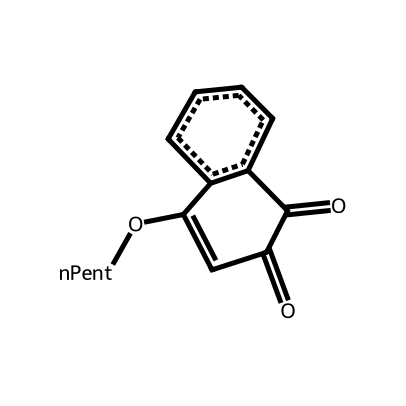 CCCCCOC1=CC(=O)C(=O)c2ccccc21